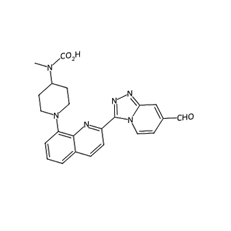 CN(C(=O)O)C1CCN(c2cccc3ccc(-c4nnc5cc(C=O)ccn45)nc23)CC1